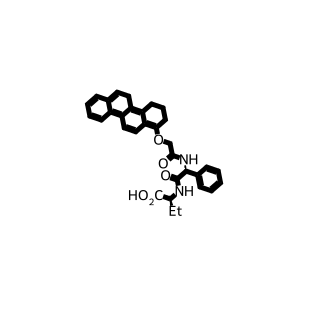 CC[C@H](NC(=O)[C@H](NC(=O)COC1=c2ccc3c(c2CCC1)CC=c1ccccc1=3)c1ccccc1)C(=O)O